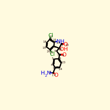 NC(=O)c1ccc(C(=O)C[C@]2(O)C(=O)Nc3c(Cl)ccc(Cl)c32)cc1